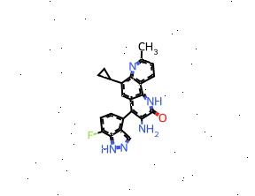 Cc1ccc2c(n1)c(C1CC1)cc1c(-c3ccc(F)c4[nH]ncc34)c(N)c(=O)[nH]c12